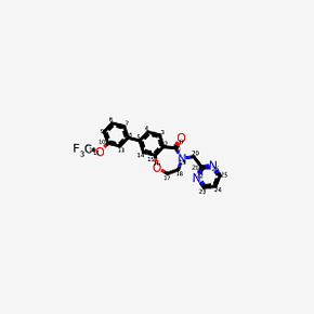 O=C1c2ccc(-c3cccc(OC(F)(F)F)c3)cc2OCCN1Cc1ncccn1